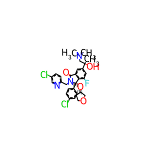 CN(C)CC(C)(O)c1cc(F)c2c(c1)C(=O)N(Cc1ccc(Cl)cn1)[C@@]2(O[C@H]1CCOC1)c1ccc(Cl)cc1